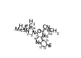 CSN1CCN(C(=O)c2cnc3ccc(F)cc3c2N2CCC(C)(C#N)CC2)CC1(C)C